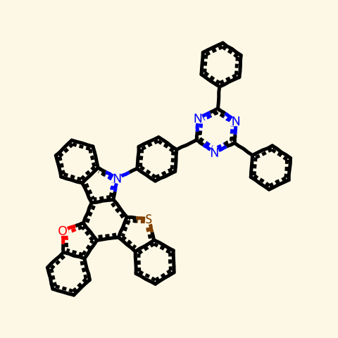 c1ccc(-c2nc(-c3ccccc3)nc(-c3ccc(-n4c5ccccc5c5c6oc7ccccc7c6c6c7ccccc7sc6c54)cc3)n2)cc1